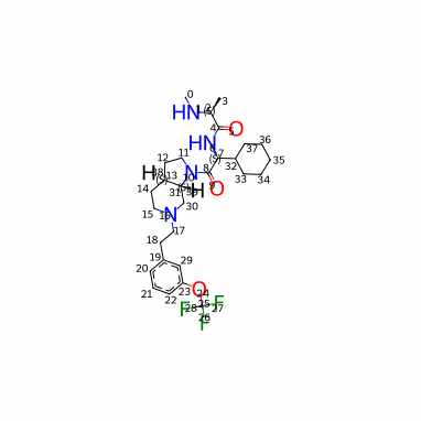 CN[C@@H](C)C(=O)N[C@H](C(=O)N1CC[C@@H]2CCN(CCc3cccc(OC(F)(F)F)c3)C[C@H]21)C1CCCCC1